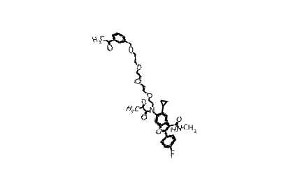 CNC(=O)c1c(-c2ccc(F)cc2)oc2cc(N(CCOCCOCCOCCOCc3cccc(C(C)=O)c3)C(=O)C(C)=O)c(C3CC3)cc12